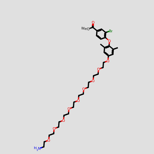 COC(=O)c1ccc(Oc2c(C)cc(OCCOCCOCCOCCOCCOCCOCCOCCOCCN)cc2C)c(Br)c1